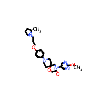 COc1ncc(N2CC3(CCN(c4ccc(OCCCN5CCC[C@@H]5C)cc4)CC3)OCC2=O)cn1